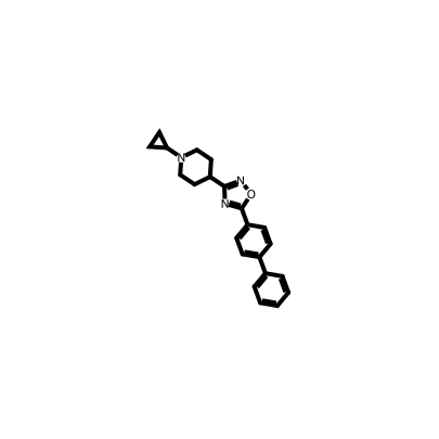 c1ccc(-c2ccc(-c3nc(C4CCN(C5CC5)CC4)no3)cc2)cc1